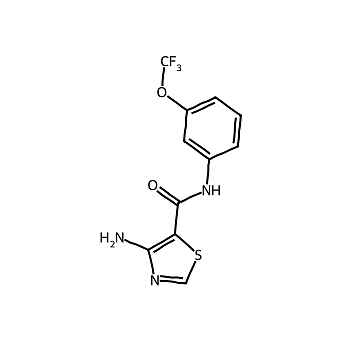 Nc1ncsc1C(=O)Nc1cccc(OC(F)(F)F)c1